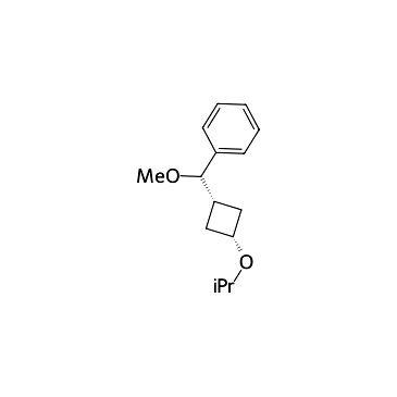 COC(c1ccccc1)[C@H]1C[C@@H](OC(C)C)C1